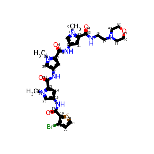 Cn1cc(NC(=O)c2cc(NC(=O)c3cc(NC(=O)c4sccc4Br)cn3C)cn2C)cc1C(=O)NCCN1CCOCC1